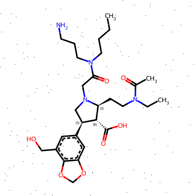 CCCCN(CCCN)C(=O)CN1C[C@H](c2cc(CO)c3c(c2)OCO3)[C@@H](C(=O)O)[C@@H]1CCN(CC)C(C)=O